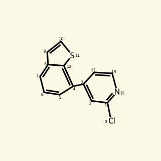 Clc1cc(-c2cccc3ccsc23)ccn1